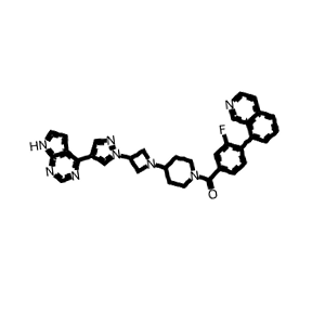 O=C(c1ccc(-c2cccc3ccncc23)c(F)c1)N1CCC(N2CC(n3cc(-c4ncnc5[nH]ccc45)cn3)C2)CC1